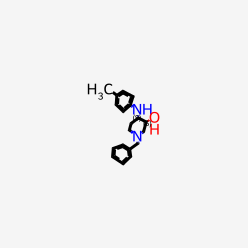 Cc1ccc(N[C@H]2CCN(Cc3ccccc3)C[C@@H]2O)cc1